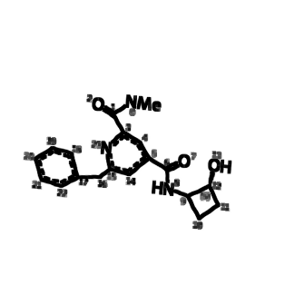 CNC(=O)c1cc(C(=O)NC2CC[C@@H]2O)cc(Cc2ccccc2)n1